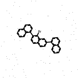 Brc1c(-c2cccc3ccccc23)ccc2ccc(-c3cccc4ccccc34)cc12